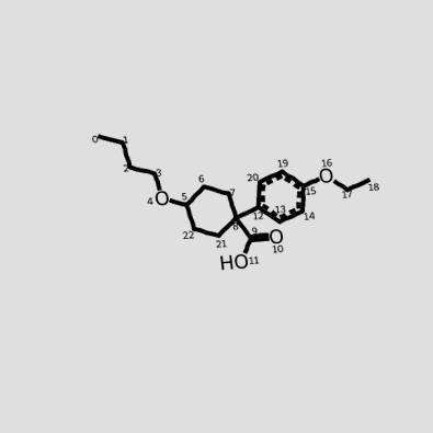 CCCCOC1CCC(C(=O)O)(c2ccc(OCC)cc2)CC1